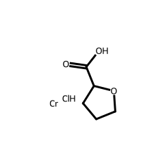 Cl.O=C(O)C1CCCO1.[Cr]